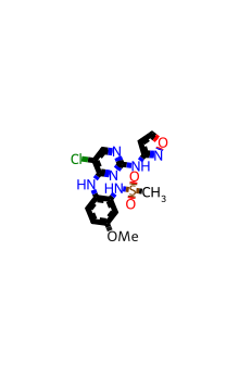 COc1ccc(Nc2nc(Nc3ccon3)ncc2Cl)c(NS(C)(=O)=O)c1